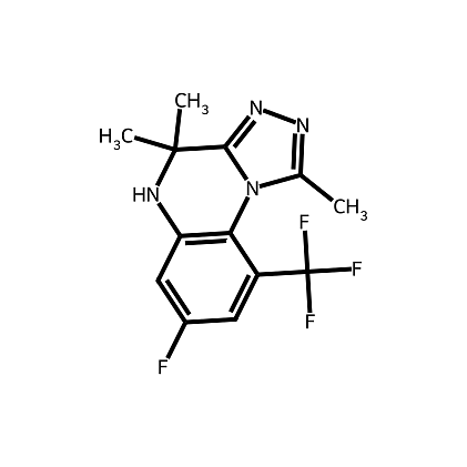 Cc1nnc2n1-c1c(cc(F)cc1C(F)(F)F)NC2(C)C